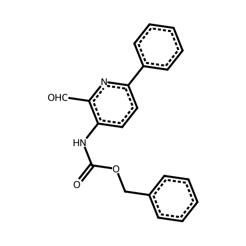 O=Cc1nc(-c2ccccc2)ccc1NC(=O)OCc1ccccc1